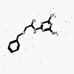 CCC(COCc1ccccc1)Nc1nc(N)nc(C(F)(F)F)n1